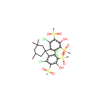 CC1CC(C)(C)CC(c2c(Cl)c(S(C)(=O)=O)c(O)c(S(C)(=O)=O)c2Cl)(c2c(Cl)c(S(C)(=O)=O)c(O)c(S(C)(=O)=O)c2Cl)C1